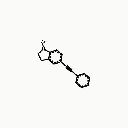 CC(=O)N1CCc2cc(C#Cc3ccccc3)ccc21